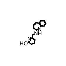 OC1=NC(CNC2=Nc3ccccc3C=CC2)=CCC1